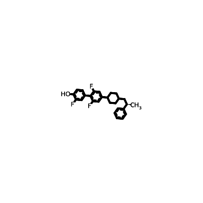 C[C@@H](CC1CCC(c2cc(F)c(-c3ccc(O)c(F)c3)c(F)c2)CC1)c1ccccc1